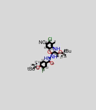 Cc1c(N[C@@H](C(=O)NNC(=O)c2ccc(O[Si](C)(C)C(C)(C)C)c(F)c2)[C@H](C)O[Si](C)(C)C(C)(C)C)ccc(C#N)c1Cl